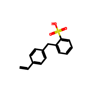 C=Cc1ccc(Cc2ccccc2S(=O)(=O)O)cc1